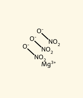 O=[N+]([O-])[O-].O=[N+]([O-])[O-].O=[N+]([O-])[O-].[Mg+3]